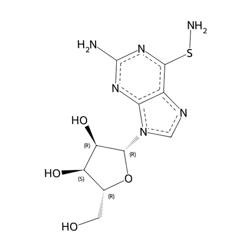 NSc1nc(N)nc2c1ncn2[C@@H]1O[C@H](CO)[C@@H](O)[C@H]1O